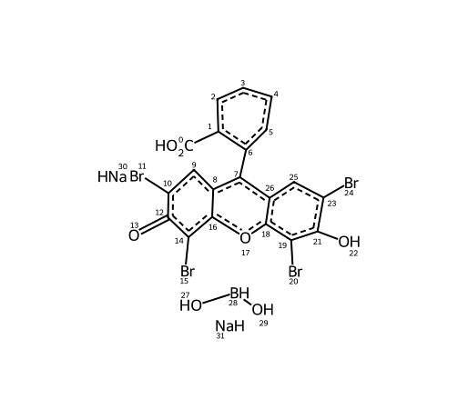 O=C(O)c1ccccc1-c1c2cc(Br)c(=O)c(Br)c-2oc2c(Br)c(O)c(Br)cc12.OBO.[NaH].[NaH]